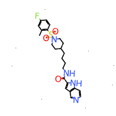 Cc1cc(F)ccc1S(=O)(=O)N1CCC(CCCCNC(=O)c2cc3cnccc3[nH]2)CC1